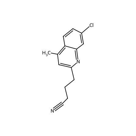 Cc1cc(CCCC#N)nc2cc(Cl)ccc12